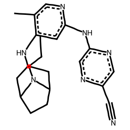 CCCN1C2CCC1CC(Nc1cc(Nc3cnc(C#N)cn3)ncc1C)C2